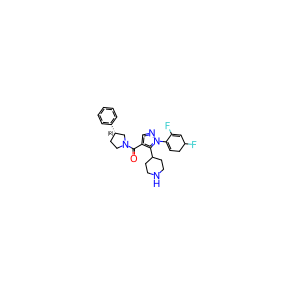 O=C(c1cnn(C2=CCC(F)C=C2F)c1C1CCNCC1)N1CC[C@H](c2ccccc2)C1